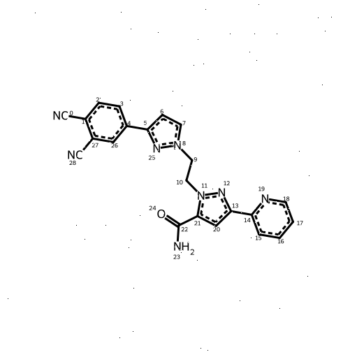 N#Cc1ccc(-c2ccn(CCn3nc(-c4ccccn4)cc3C(N)=O)n2)cc1C#N